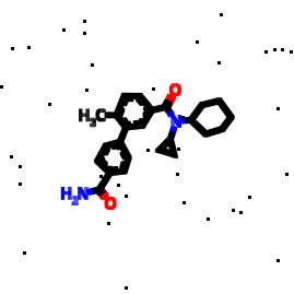 Cc1ccc(C(=O)N(C2CCCCC2)C2CC2)cc1-c1ccc(C(N)=O)cc1